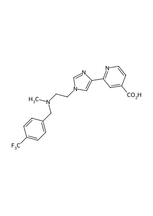 CN(CCn1cnc(-c2cc(C(=O)O)ccn2)c1)Cc1ccc(C(F)(F)F)cc1